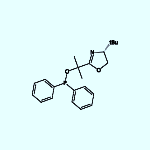 CC(C)(OP(c1ccccc1)c1ccccc1)C1=N[C@H](C(C)(C)C)CO1